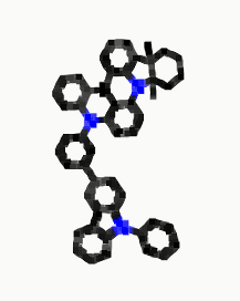 CC12CCCC[C@@]1(C)c1cccc3c1N2c1cccc2c1B3c1ccccc1N2c1cccc(-c2ccc3c(c2)c2ccccc2n3-c2ccccc2)c1